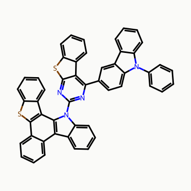 c1ccc(-n2c3ccccc3c3cc(-c4nc(-n5c6ccccc6c6c7ccccc7c7sc8ccccc8c7c65)nc5sc6ccccc6c45)ccc32)cc1